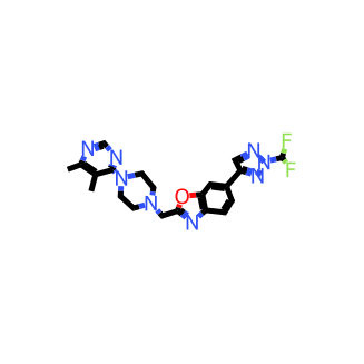 Cc1ncnc(N2CCN(Cc3nc4ccc(-c5cnn(C(F)F)n5)cc4o3)CC2)c1C